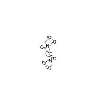 CC1(C(=O)N(CC2CO2)CC2CO2)CCC(C(=O)N(CC2CO2)CC2CO2)C1(C)C